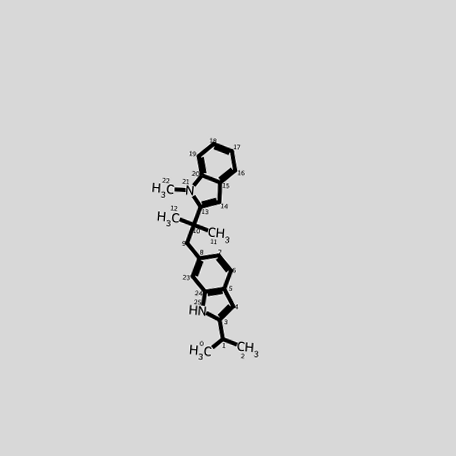 CC(C)c1cc2ccc(CC(C)(C)c3cc4ccccc4n3C)cc2[nH]1